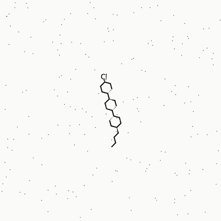 CCCC[C@H]1CC[C@H]([C@H]2CC[C@H]([C@H]3CC[C@H](Cl)CC3)CC2)CC1